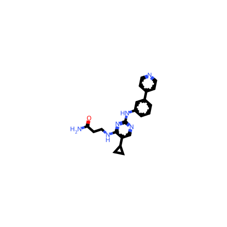 NC(=O)CCNc1nc(Nc2cccc(-c3ccncc3)c2)ncc1C1CC1